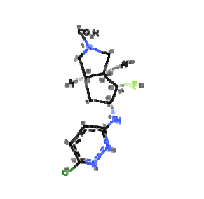 O=C(O)N1C[C@@H]2C[C@@H](Nc3ccc(Cl)nn3)[C@@H](F)[C@@H]2C1